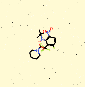 CC(C)(C)N(OC(=O)N1CCCCC1)c1c([N+](=O)[O-])ccc(F)c1C(F)(F)F